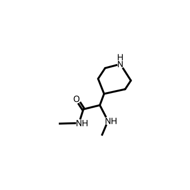 CNC(=O)C(NC)C1CCNCC1